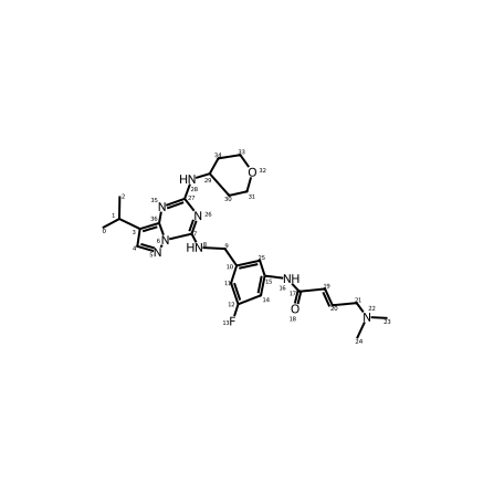 CC(C)c1cnn2c(NCc3cc(F)cc(NC(=O)C=CCN(C)C)c3)nc(NC3CCOCC3)nc12